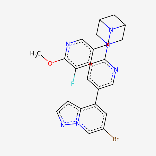 COc1ncc(CN2C3CC2CN(c2ccc(-c4cc(Br)cn5nccc45)cn2)C3)cc1F